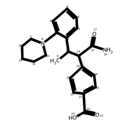 CC(c1ccccc1N1CCCCC1)C(C(N)=O)c1ccc(C(=O)O)cc1